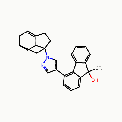 OC1(C(F)(F)F)c2ccccc2-c2c(-c3cnn(C45CCC6=CCC(CC64)C5)c3)cccc21